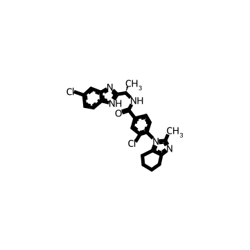 Cc1nc2c(n1-c1ccc(C(=O)N[C@@H](C)c3nc4cc(Cl)ccc4[nH]3)cc1Cl)CCCC2